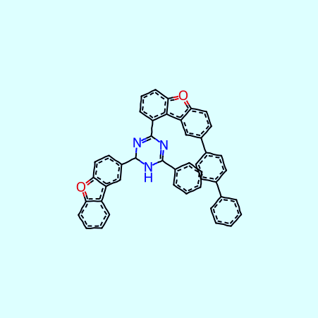 c1ccc(C2=NC(c3cccc4oc5ccc(-c6ccc(-c7ccccc7)cc6)cc5c34)=NC(c3ccc4oc5ccccc5c4c3)N2)cc1